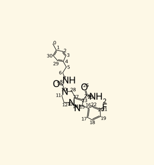 Cc1ccc(CCNC(=O)N2CCn3nc(-c4cccc(F)c4)c(C(N)=O)c3C2)cc1